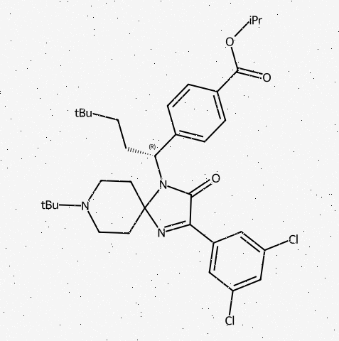 CC(C)OC(=O)c1ccc([C@@H](CCC(C)(C)C)N2C(=O)C(c3cc(Cl)cc(Cl)c3)=NC23CCN(C(C)(C)C)CC3)cc1